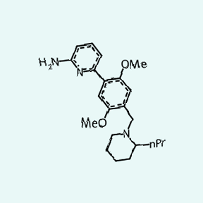 CCCC1CCCCN1Cc1cc(OC)c(-c2cccc(N)n2)cc1OC